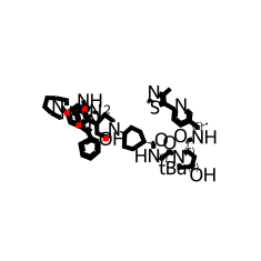 Cc1ncsc1-c1ccc([C@H](C)NC(=O)[C@@H]2C[C@@H](O)CN2C(=O)[C@@H](NC(=O)[C@H]2CC[C@@H](N3CCC(c4ccc(N5C6CCC5CN(c5cc(-c7ccccc7O)nnc5N)C6)cc4)CC3)CC2)C(C)(C)C)cn1